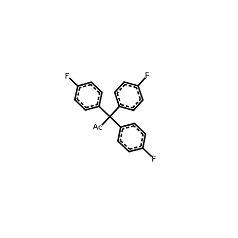 CC(=O)C(c1ccc(F)cc1)(c1ccc(F)cc1)c1ccc(F)cc1